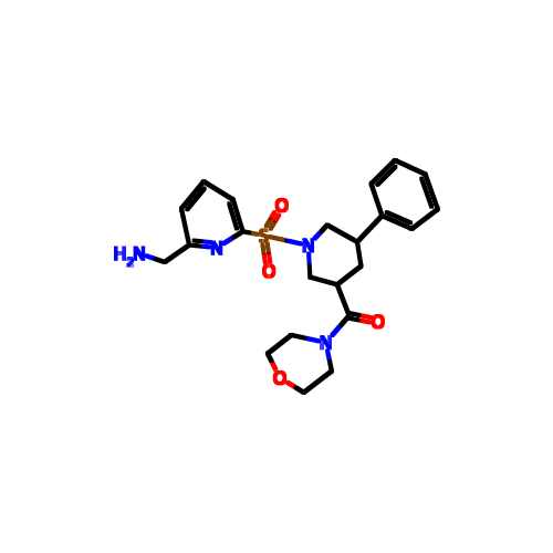 NCc1cccc(S(=O)(=O)N2CC(C(=O)N3CCOCC3)CC(c3ccccc3)C2)n1